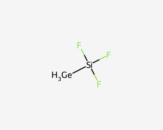 F[Si](F)(F)[GeH3]